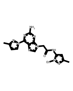 CCn1nc(C)cc1NC(=O)Cn1cnc2c(-n3ccc(C)n3)nc(N)nc21